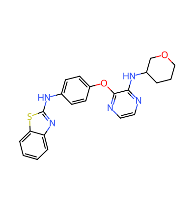 c1ccc2sc(Nc3ccc(Oc4nccnc4NC4CCCOC4)cc3)nc2c1